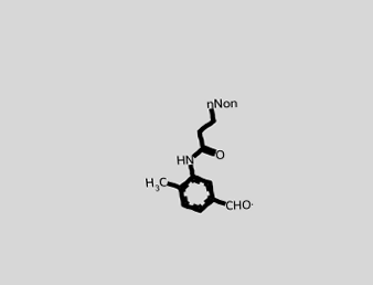 CCCCCCCCCCCC(=O)Nc1cc([C]=O)ccc1C